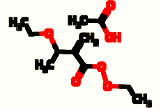 C=C(C(=O)OOCC)C(C)OCC.CC(=O)O